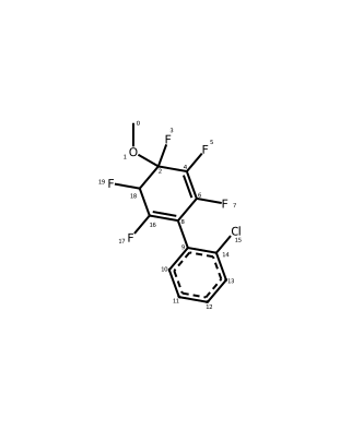 COC1(F)C(F)=C(F)C(c2ccccc2Cl)=C(F)C1F